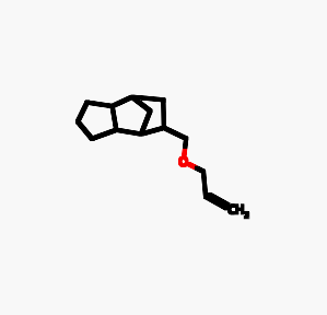 C=CCOCC1CC2CC1C1CCCC21